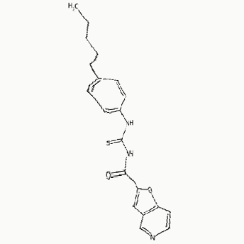 CCCCCc1ccc(NC(=S)NC(=O)c2cc3cnccc3o2)cc1